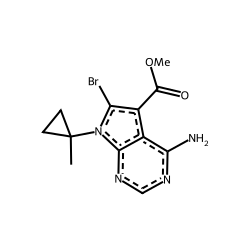 COC(=O)c1c(Br)n(C2(C)CC2)c2ncnc(N)c12